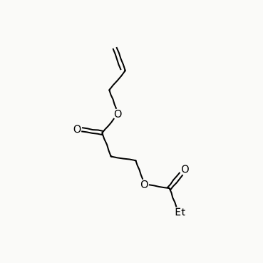 [CH2]CC(=O)OCCC(=O)OCC=C